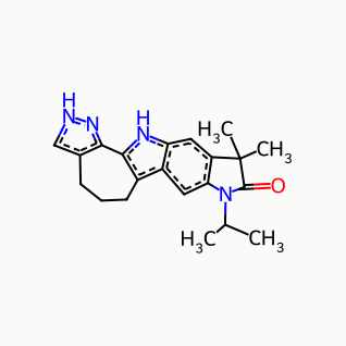 CC(C)N1C(=O)C(C)(C)c2cc3[nH]c4c(c3cc21)CCCc1c[nH]nc1-4